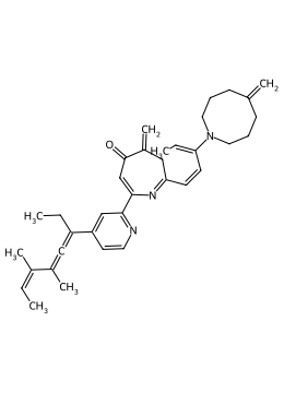 C=C1CCCN(C(/C=C\C2=NC(c3cc(C(=C=C(C)/C(C)=C\C)CC)ccn3)=CC(=O)C(=C)C2)=C/C)CCC1